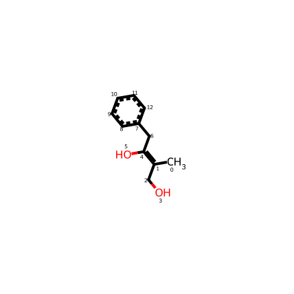 C/C(CO)=C(/O)Cc1ccccc1